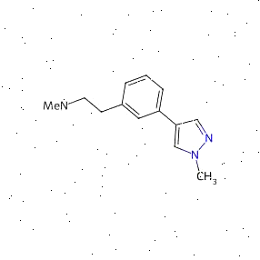 CNCCc1cccc(-c2cnn(C)c2)c1